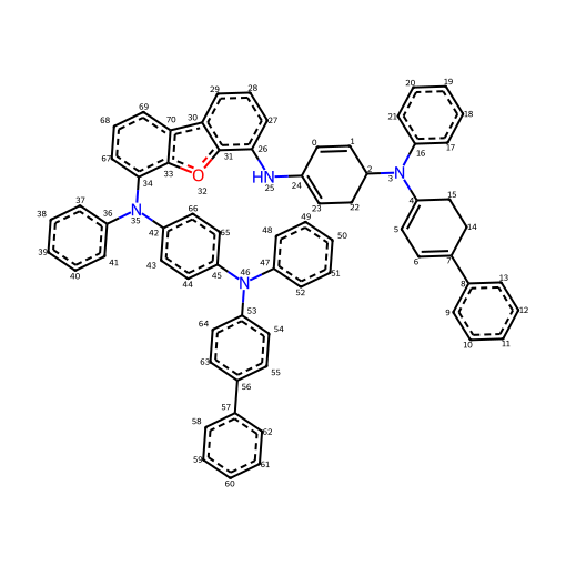 C1=CC(N(C2=CC=C(c3ccccc3)CC2)c2ccccc2)CC=C1Nc1cccc2c1oc1c(N(c3ccccc3)c3ccc(N(c4ccccc4)c4ccc(-c5ccccc5)cc4)cc3)cccc12